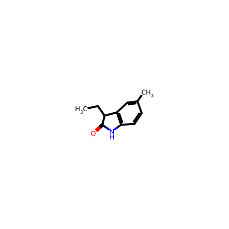 CCC1C(=O)Nc2ccc(C)cc21